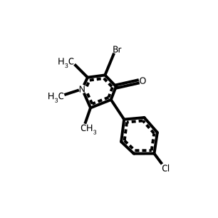 Cc1c(Br)c(=O)c(-c2ccc(Cl)cc2)c(C)n1C